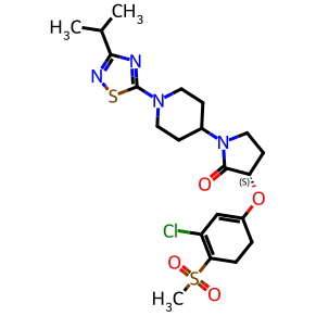 CC(C)c1nsc(N2CCC(N3CC[C@H](OC4=CC(Cl)=C(S(C)(=O)=O)CC4)C3=O)CC2)n1